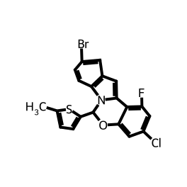 Cc1ccc(C2Oc3cc(Cl)cc(F)c3-c3cc4cc(Br)ccc4n32)s1